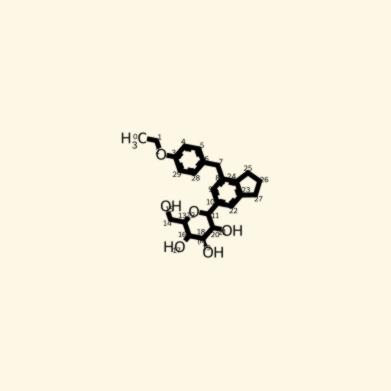 CCOc1ccc(Cc2cc(C3OC(CO)C(O)[C@H](O)C3O)cc3c2CCC3)cc1